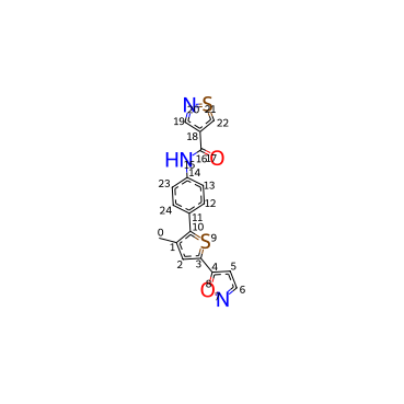 Cc1cc(-c2ccno2)sc1-c1ccc(NC(=O)c2cnsc2)cc1